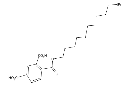 CC(C)CCCCCCCCCCOC(=O)c1ccc(C(=O)O)cc1C(=O)O